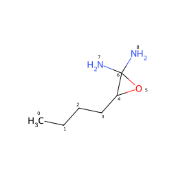 CCCCC1OC1(N)N